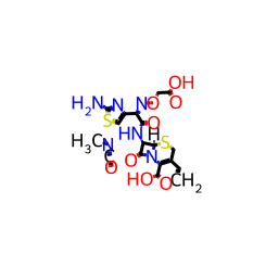 C=CC1=C(C(=O)O)N2C(=O)[C@@H](NC(=O)/C(=N\OCC(=O)O)c3csc(N)n3)[C@H]2SC1.CN=C=O